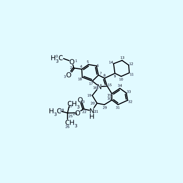 COC(=O)c1ccc2c(C3CCCCC3)c3n(c2c1)CC(NC(=O)OC(C)(C)C)Cc1ccccc1-3